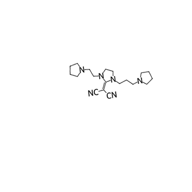 N#CC(C#N)=C1N(CCCN2CCCC2)CCN1CCN1CCCC1